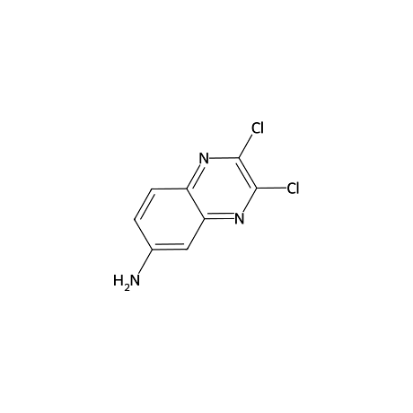 Nc1ccc2nc(Cl)c(Cl)nc2c1